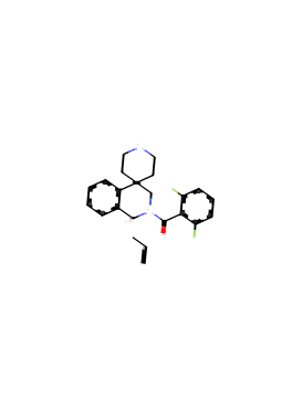 C=CC[C@@H]1c2ccccc2C2(CCNCC2)CN1C(=O)c1c(F)cccc1F